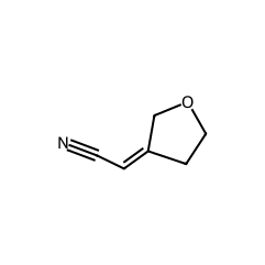 N#C/C=C1/CCOC1